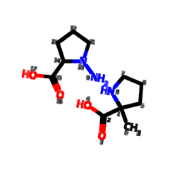 CC1(C(=O)O)CCCN1.NN1CCCC1C(=O)O